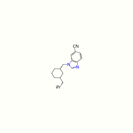 CC(C)CC1CCCC(Cn2cnc3ccc(C#N)cc32)C1